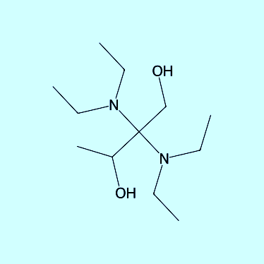 CCN(CC)C(CO)(C(C)O)N(CC)CC